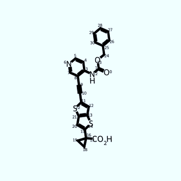 O=C(Nc1ccncc1C#Cc1cc2sc(C3(C(=O)O)CC3)cc2s1)OCc1ccccc1